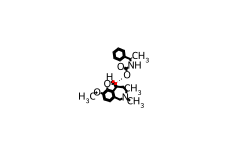 COc1ccc2c3c1O[C@H]1C[C@H](OC(=O)N[C@@H](C)c4ccccc4)C(C)[C@@]31CCN(C)C2